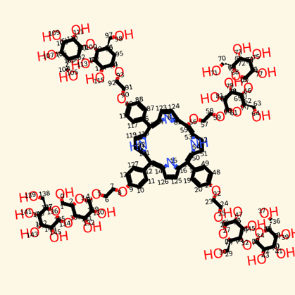 OCC1O[C@@H](OCCOc2ccc(-c3c4nc(c(-c5ccc(OCCO[C@@H]6O[C@H](CO)[C@H](O[C@@H]7O[C@H](CO)[C@H](O)[C@H](O)C7O)[C@H](O)[C@@H]6O)cc5)c5ccc([nH]5)c(OCCO[C@@H]5O[C@H](CO)[C@H](O[C@@H]6O[C@H](CO)[C@H](O)[C@H](O)[C@@H]6O)[C@H](O)[C@@H]5O)c5nc(c(-c6ccc(OCCO[C@@H]7C[C@H](CO)C(O[C@@H]8C[C@H](CO)[C@H](O)[C@H](O)C8O)[C@H](O)C7O)cc6)c6ccc3[nH]6)C=C5)C=C4)cc2)C(O)C(O)C1OC1O[C@H](CO)[C@H](O)[C@H](O)C1O